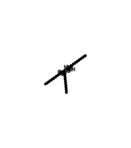 CCCCCCCCCCCCCCCC(=O)NC(CSCC(COC(=O)CCCCCCCCCCCCCCC)OC(=O)CCCCCCCCCCCCCCC)C(=O)S